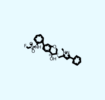 Cn1nc(-c2ccccc2)cc1C[C@H]1COc2cc(-c3ccccc3NS(=O)(=O)CF)ccc2[C@@H]1O